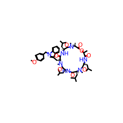 COc1ccc(Cn2cc(C[C@H]3C(=O)N[C@@H](CC(C)C)C(=O)N(C)[C@@H](C)C(=O)OC(C)C(=O)N[C@@H](CC(C)C)C(=O)N(C)[C@@H](CC(C)C)C(=O)N[C@@H](CC(C)C)C(=O)N3C)c3ccccc32)cc1